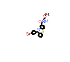 CCOCCNC(=O)c1ccc2c(c1)N=C(c1ccc(Br)cc1)c1ccccc1S2